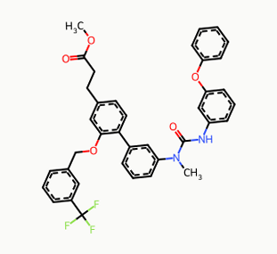 COC(=O)CCc1ccc(-c2cccc(N(C)C(=O)Nc3cccc(Oc4ccccc4)c3)c2)c(OCc2cccc(C(F)(F)F)c2)c1